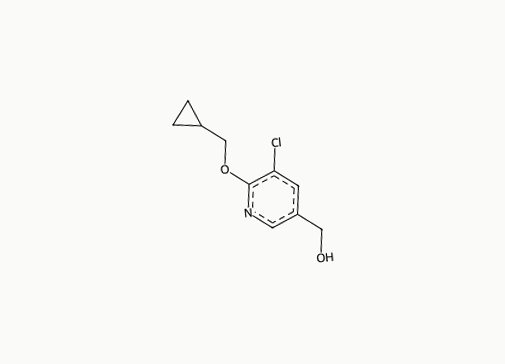 OCc1cnc(OCC2CC2)c(Cl)c1